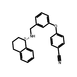 N#Cc1ccc(Oc2cccc(CN[C@H]3CCCc4ccccc43)c2)cc1